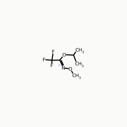 CO/N=C(\OC(C)C)C(F)(F)F